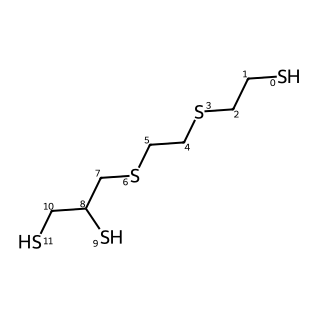 SCCSCCSCC(S)CS